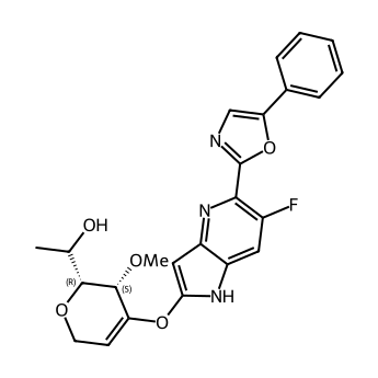 CO[C@@H]1C(Oc2cc3nc(-c4ncc(-c5ccccc5)o4)c(F)cc3[nH]2)=CCO[C@@H]1C(C)O